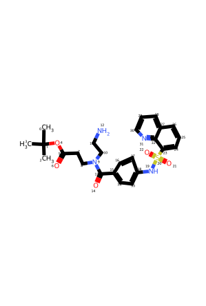 CC(C)(C)OC(=O)CCN(CCN)C(=O)c1ccc(NS(=O)(=O)c2cccc3cccnc23)cc1